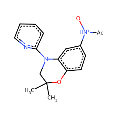 CC(=O)[NH+]([O-])c1ccc2c(c1)N(c1ccccn1)CC(C)(C)O2